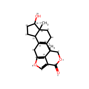 CC12COC(=O)c3coc(c31)CC1=C2CCC2(C)C(O)CCC12